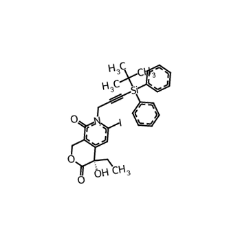 CC[C@@]1(O)C(=O)OCc2c1cc(I)n(CC#C[Si](c1ccccc1)(c1ccccc1)C(C)(C)C)c2=O